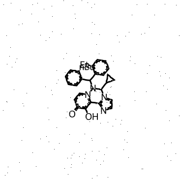 CCCCc1ccccc1C(c1ccccc1CC)N1C(C2CC2)n2ccnc2-c2c(O)c(=O)ccn21